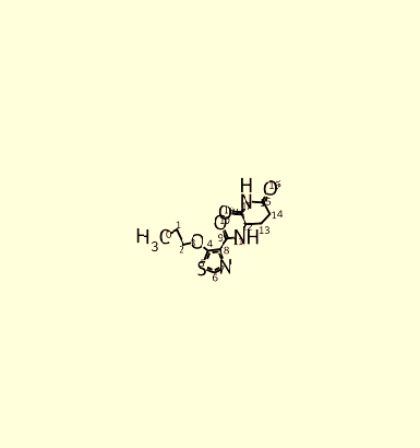 CCCOc1scnc1C(=O)NC1CCC(=O)NC1=O